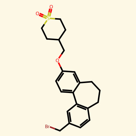 O=S1(=O)CCC(COc2ccc3c(c2)CCCc2ccc(CBr)cc2-3)CC1